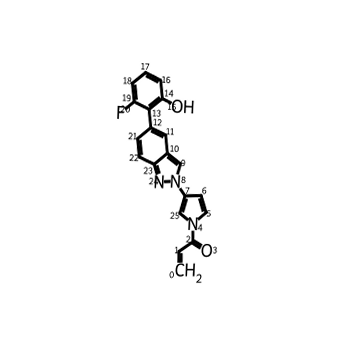 C=CC(=O)n1ccc(-n2cc3cc(-c4c(O)cccc4F)ccc3n2)c1